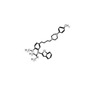 CN=C(N)N(c1cc2ccccc2o1)c1cc(CCCCN2CCN(c3ccc(C)cc3)CC2)ccc1OC